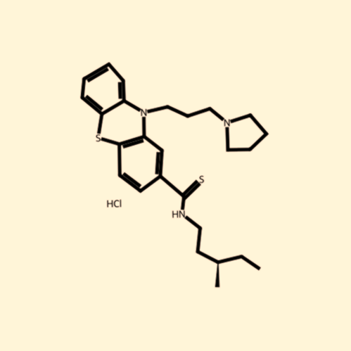 CC[C@@H](C)CCNC(=S)c1ccc2c(c1)N(CCCN1CCCC1)c1ccccc1S2.Cl